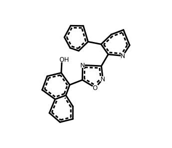 Oc1ccc2ccccc2c1-c1nc(-c2ncccc2-c2ccccc2)no1